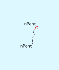 [CH2]CCCCOCCCCCCCCC